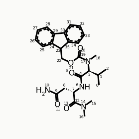 CC(C)[C@@H](C(=O)N[C@@H](CC(N)=O)C(=O)N(C)C)N(C)C(=O)OCC1c2ccccc2-c2ccccc21